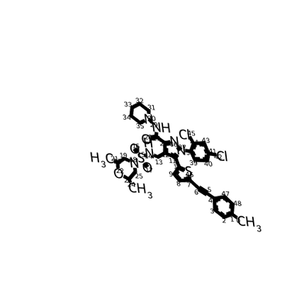 Cc1ccc(C#Cc2ccc(-c3c(CNS(=O)(=O)N4CC(C)OC(C)C4)c(C(=O)NN4CCCCC4)nn3-c3ccc(Cl)cc3Cl)s2)cc1